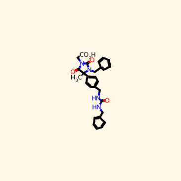 C[C@@]1(c2ccc(CNC(=O)NCc3ccccc3)cc2)C(=O)N(CC(=O)O)C(=O)N1Cc1ccccc1